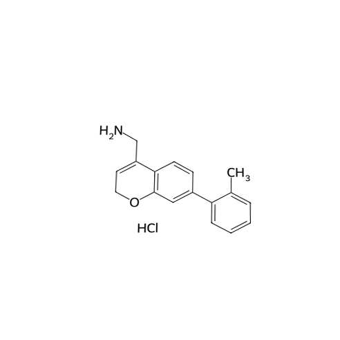 Cc1ccccc1-c1ccc2c(c1)OCC=C2CN.Cl